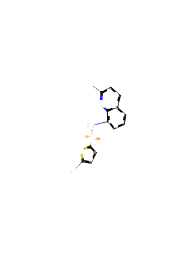 Cc1ccc2cccc(NS(=O)(=O)c3ccc(Br)s3)c2n1